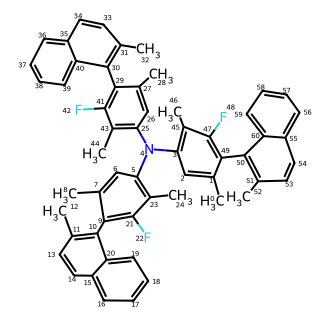 Cc1cc(N(c2cc(C)c(-c3c(C)ccc4ccccc34)c(F)c2C)c2cc(C)c(-c3c(C)ccc4ccccc34)c(F)c2C)c(C)c(F)c1-c1c(C)ccc2ccccc12